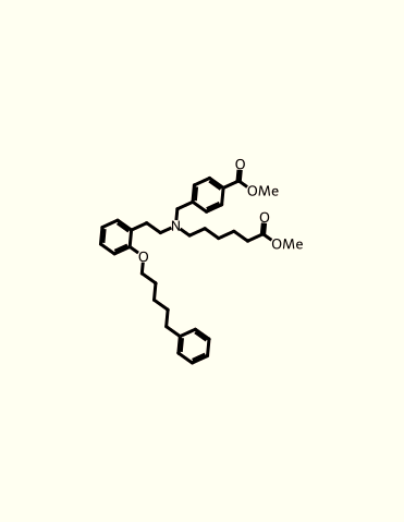 COC(=O)CCCCCN(CCc1ccccc1OCCCCCc1ccccc1)Cc1ccc(C(=O)OC)cc1